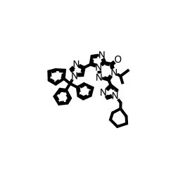 CC(C)n1c(-c2cn(CC3CCCCC3)cn2)nn2c(-c3cn(C(c4ccccc4)(c4ccccc4)c4ccccc4)cn3)cnc2c1=O